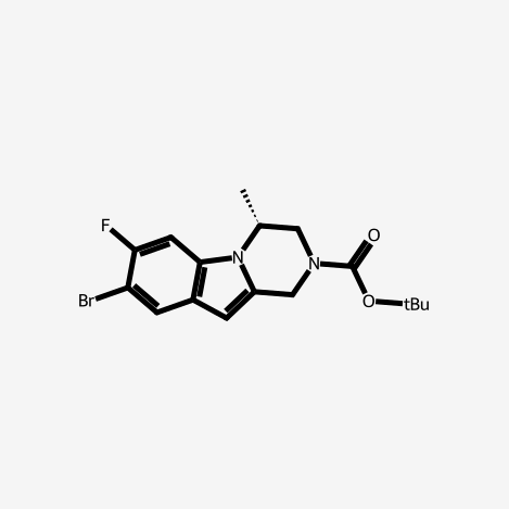 C[C@@H]1CN(C(=O)OC(C)(C)C)Cc2cc3cc(Br)c(F)cc3n21